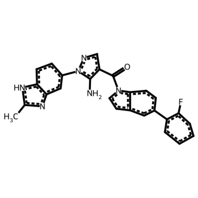 Cc1nc2cc(-n3ncc(C(=O)n4ccc5cc(-c6ccccc6F)ccc54)c3N)ccc2[nH]1